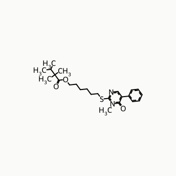 CC(C)C(C)(C)C(=O)OCCCCCCSc1ncc(-c2ccccc2)c(=O)n1C